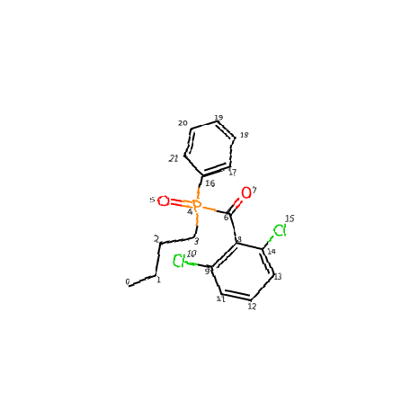 CCCCP(=O)(C(=O)c1c(Cl)cccc1Cl)c1ccccc1